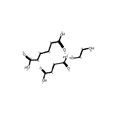 O=C(O)CCC(=O)O.O=C(O)CCCCC(=O)O.OCCO